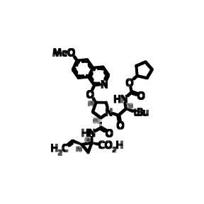 C=C[C@@H]1C[C@]1(NC(=O)[C@@H]1C[C@@H](Oc2nccc3cc(OC)ccc23)CN1C(=O)[C@@H](NC(=O)OC1CCCC1)C(C)(C)C)C(=O)O